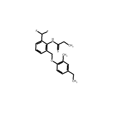 CCC(=S)Nc1c(COc2ccc(CC)cc2C)cccc1C(F)F